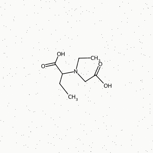 CCC(C(=O)O)N(CC)CC(=O)O